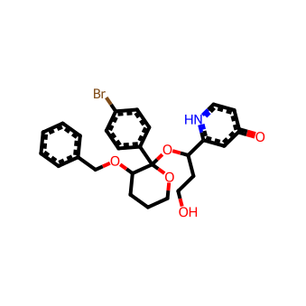 O=c1cc[nH]c(C(CCO)OC2(c3ccc(Br)cc3)OCCCC2OCc2ccccc2)c1